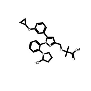 CC(C)(OCc1cc(-c2cccc(OC3CC3)c2)n(-c2ccccc2N2CCCC2O)n1)C(=O)O